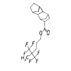 CC(CCCOC(=O)C1CC2CC1C1C3CCC(C3)C21)(C(F)(F)F)C(F)(F)F